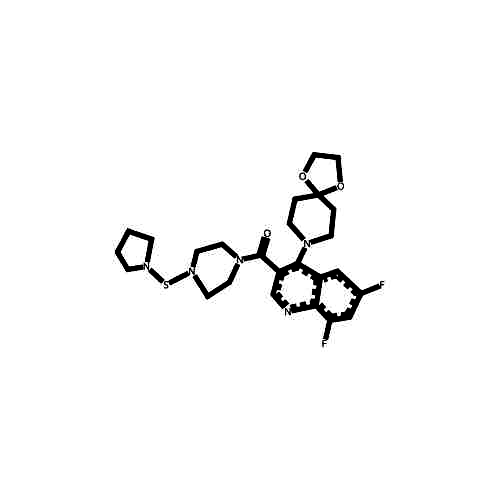 O=C(c1cnc2c(F)cc(F)cc2c1N1CCC2(CC1)OCCO2)N1CCN(SN2CCCC2)CC1